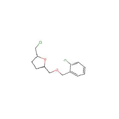 ClCC1CCC(COCc2ccccc2Cl)O1